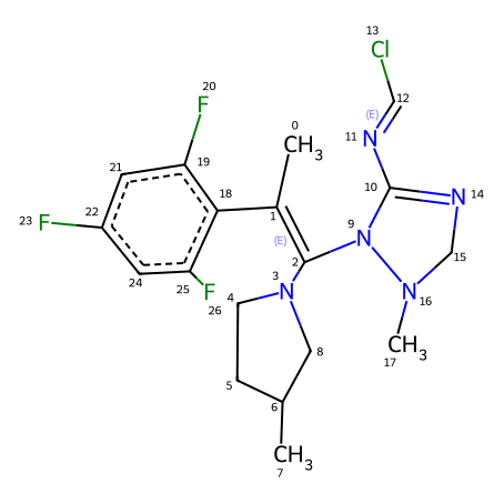 C/C(=C(/N1CCC(C)C1)N1C(/N=C/Cl)=NCN1C)c1c(F)cc(F)cc1F